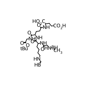 B=CNCCCCC(NC(=O)CNBC)C(=O)NC(CCC(=O)NC(CCC(=O)O)C(=O)O)C(=O)NCC(=O)OC(C)(C)C